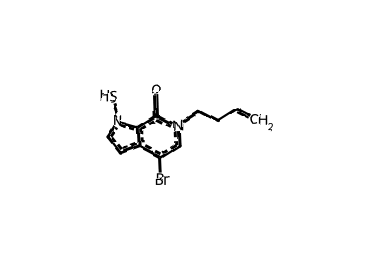 C=CCCn1cc(Br)c2ccn(S)c2c1=O